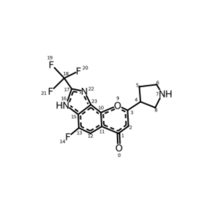 O=c1cc(C2CCNC2)oc2c1cc(F)c1[nH]c(C(F)(F)F)nc12